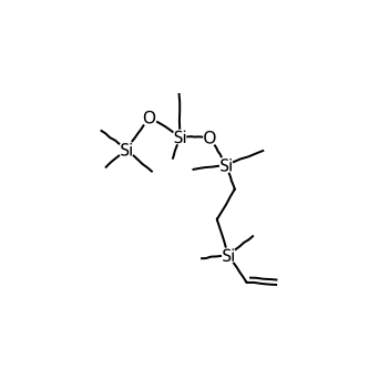 C=C[Si](C)(C)CC[Si](C)(C)O[Si](C)(C)O[Si](C)(C)C